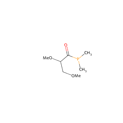 COCC(OC)C(=O)P(C)C